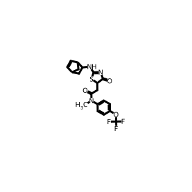 CN(C(=O)CC1SC(NC2CC3C=CC2C3)=NC1=O)c1ccc(OC(F)(F)F)cc1